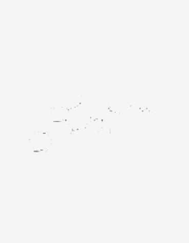 C#CCOC(=O)c1cc(C(=O)c2c(-c3ccccc3)noc2CC)c[nH]1